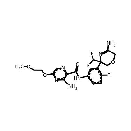 COCCOc1cnc(C(=O)Nc2ccc(F)c(C3(C(F)F)COCC(N)=N3)c2)c(N)n1